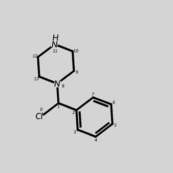 ClC(c1ccccc1)N1CCNCC1